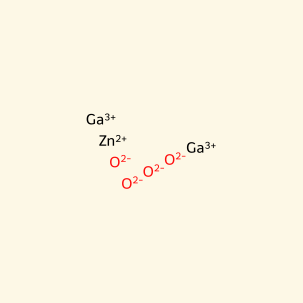 [Ga+3].[Ga+3].[O-2].[O-2].[O-2].[O-2].[Zn+2]